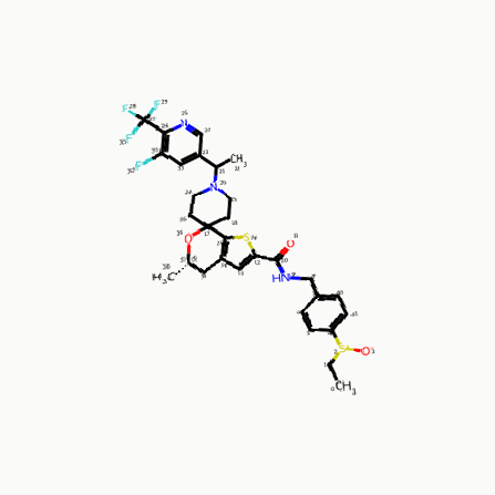 CC[S+]([O-])c1ccc(CNC(=O)c2cc3c(s2)C2(CCN(C(C)c4cnc(C(F)(F)F)c(F)c4)CC2)O[C@@H](C)C3)cc1